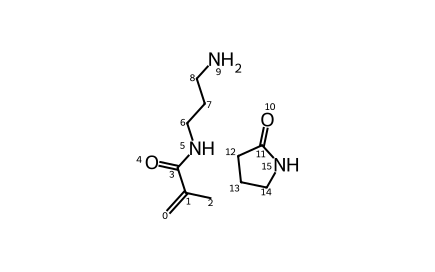 C=C(C)C(=O)NCCCN.O=C1CCCN1